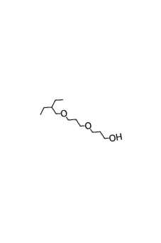 CCC(CC)COCCCOCCCO